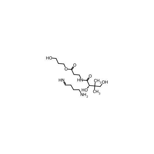 CC(C)(CO)[C@@H](O)C(=O)NCCC(=O)OCCCO.N=CCCCN